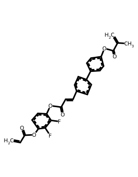 C=CC(=O)Oc1ccc(OC(=O)/C=C/c2ccc(-c3ccc(OC(=O)C(=C)C)cc3)cc2)c(F)c1F